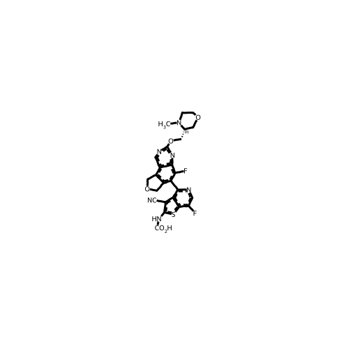 CN1CCOC[C@@H]1COc1ncc2c3c(c(-c4ncc(F)c5sc(NC(=O)O)c(C#N)c45)c(F)c2n1)COC3